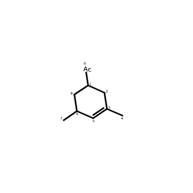 CC(=O)C1CC(C)=CC(C)C1